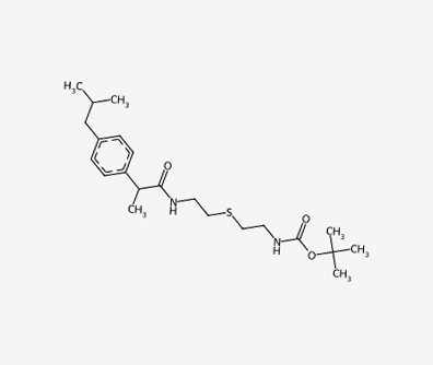 CC(C)Cc1ccc(C(C)C(=O)NCCSCCNC(=O)OC(C)(C)C)cc1